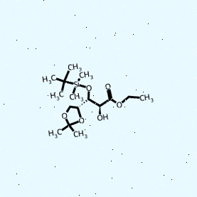 CCOC(=O)[C@@H](O)C(O[Si](C)(C)C(C)(C)C)[C@H]1COC(C)(C)O1